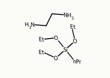 CCC[Si](OCC)(OCC)OCC.NCCN